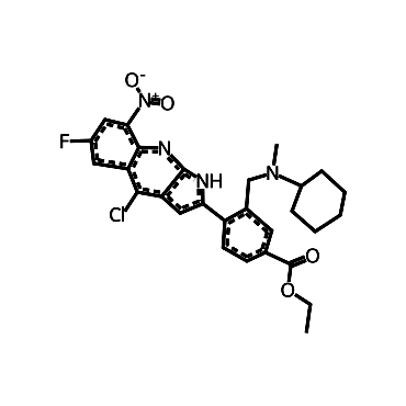 CCOC(=O)c1ccc(-c2cc3c(Cl)c4cc(F)cc([N+](=O)[O-])c4nc3[nH]2)c(CN(C)C2CCCCC2)c1